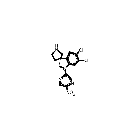 O=[N+]([O-])c1cnc(N2C[C@@]3(CCNC3)c3cc(Cl)c(Cl)cc32)cn1